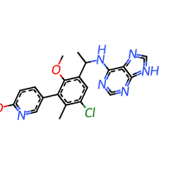 COc1ccc(-c2c(C)c(Cl)cc(C(C)Nc3ncnc4[nH]cnc34)c2OC)cn1